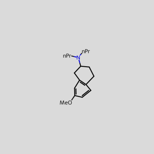 CCCN(CCC)C1CCc2ccc(OC)cc2C1